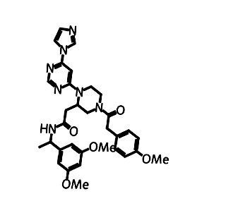 COc1ccc(CC(=O)N2CCN(c3cc(-n4ccnc4)ncn3)C(CC(=O)NC(C)c3cc(OC)cc(OC)c3)C2)cc1